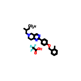 Cc1ccccc1COc1ccc(-c2ncc3c(n2)CCN(CC(C)CC(=O)O)C3)cc1.O=C(O)C(F)(F)F